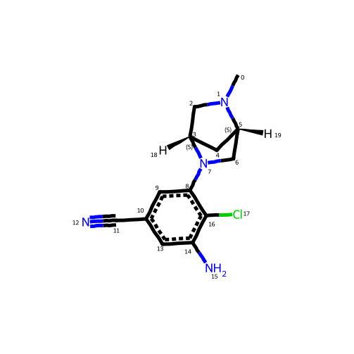 CN1C[C@@H]2C[C@H]1CN2c1cc(C#N)cc(N)c1Cl